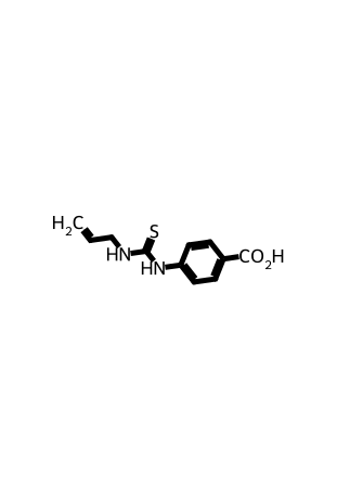 C=CCNC(=S)Nc1ccc(C(=O)O)cc1